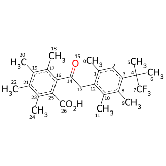 Cc1cc(C(C)(C)C(F)(F)F)c(C)c(C)c1CC(=O)c1c(C)c(C)c(C)c(C)c1C(=O)O